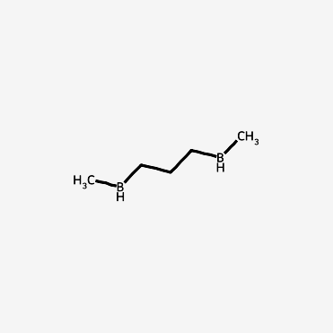 CBCCCBC